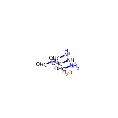 NC=O.NC=O.NC=O.NC=O.O